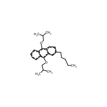 CCCCCc1ccc2c(OCC(C)C)c3ccccc3c(OCC(C)C)c2c1